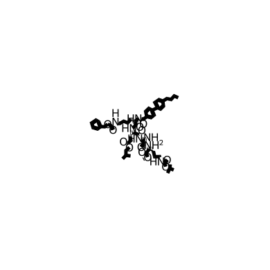 CCCCc1ccc(-c2ccc(C(=O)N[C@@H](CCCCNC(=O)OCc3ccccc3)C(=O)N[C@@H](CCC(=O)OCC(C)C)C(=O)N[C@@H](N)C(=O)N[C@@H](CCCNC(=O)OC(C)(C)C)C(=O)OC)cc2)cc1